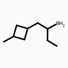 BC(CC)CC1CC(C)C1